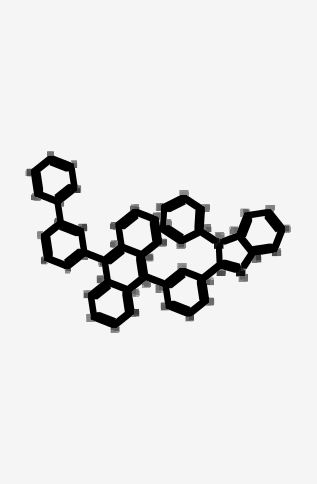 c1ccc(-c2cccc(-c3c4ccccc4c(-c4cccc(-c5nc6ccccc6n5-c5ccccc5)c4)c4ccccc34)c2)cc1